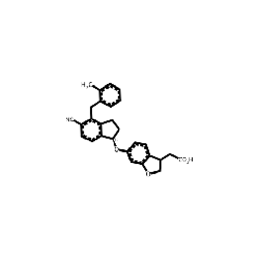 Cc1ccccc1Cc1c(C#N)ccc2c1CC[C@H]2Oc1ccc2c(c1)OCC2CC(=O)O